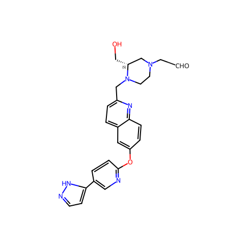 O=CCN1CCN(Cc2ccc3cc(Oc4ccc(-c5ccn[nH]5)cn4)ccc3n2)[C@H](CO)C1